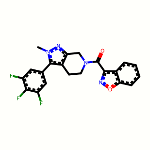 Cn1nc2c(c1-c1cc(F)c(F)c(F)c1)CCN(C(=O)c1noc3ccccc13)C2